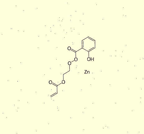 C=CC(=O)OCCOOC(=O)c1ccccc1O.[Zn]